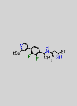 CCC1CC(NC(C)c2ccc(-c3ccnc(C(C)(C)C)c3)c(F)c2F)=CN1